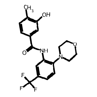 Cc1ccc(C(=O)Nc2cc(C(F)(F)F)ccc2N2CCOCC2)cc1O